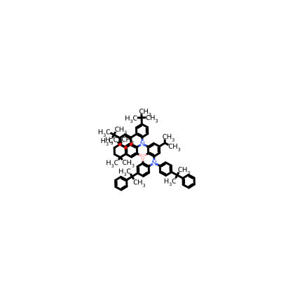 CC(C)c1cc2c3c(c1)N(c1ccc(C(C)(C)C)cc1-c1cccc(C(C)(C)C)c1)c1cc4c(cc1B3c1cc(C(C)(C)c3ccccc3)ccc1N2c1ccc(C(C)(C)c2ccccc2)cc1)C(C)(C)CCC4(C)C